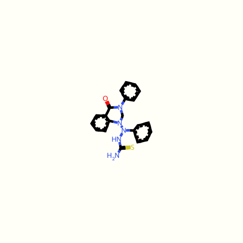 NC(=S)NN(c1ccccc1)N1CN(c2ccccc2)C(=O)c2ccccc21